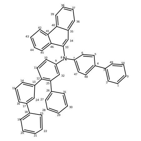 c1ccc(-c2ccc(N(c3ccc(-c4cccc(-c5ccccc5)c4)c(-c4ccccc4)c3)c3cc4ccccc4c4ccccc34)cc2)cc1